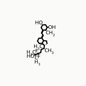 C=C1/C(=C\C=C2/CCC[C@@]3(C)C2CC[C@@H]3[C@H](C)CCC(F)(F)C(C)(C)O)C[C@@H](O)CC1O